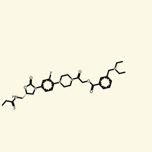 CCC(=S)NC[C@H]1CN(c2ccc(N3CCN(C(=O)COC(=O)c4cccc(CN(CC)CC)c4)CC3)c(F)c2)C(=O)O1